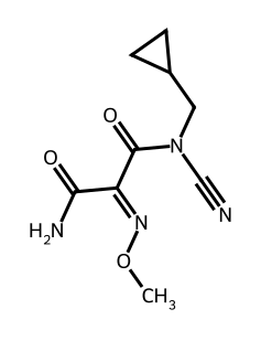 CON=C(C(N)=O)C(=O)N(C#N)CC1CC1